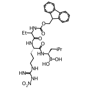 CCC(NC(=O)OCC1c2ccccc2-c2ccccc21)C(=O)N[C@@H](CCCNC(=N)N[N+](=O)[O-])C(=O)N[C@@H](CC(C)C)B(O)O